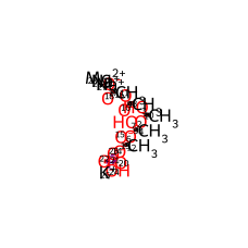 CC(=O)O.CC(=O)O.CC(=O)[O-].CC(=O)[O-].CC(=O)[O-].O=P([O-])([O-])O.[K+].[Mg+2].[Na+].[Na+]